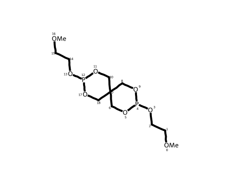 COCCOP1OCC2(CO1)COP(OCCOC)OC2